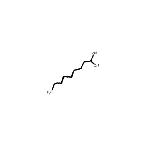 OC(O)CCCCCCCC(F)(F)F